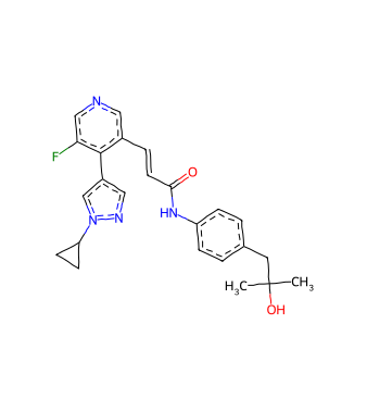 CC(C)(O)Cc1ccc(NC(=O)C=Cc2cncc(F)c2-c2cnn(C3CC3)c2)cc1